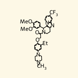 CCc1cc(N2CCN(C)CC2)ccc1OCC(=O)N1CCc2nc3cc(C(F)(F)F)ccn3c2C1c1ccc(OC)c(OC)c1